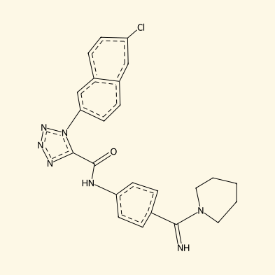 N=C(c1ccc(NC(=O)c2nnnn2-c2ccc3cc(Cl)ccc3c2)cc1)N1CCCCC1